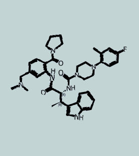 Cc1cc(F)ccc1N1CCN(C(=O)N[C@@H](C(=O)Nc2cc(CN(C)C)ccc2C(=O)N2CCCC2)[C@H](C)c2c[nH]c3ccccc23)CC1